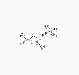 C[Si](C)(C)C#C[C@H]1CN(C(=O)O)C[C@@H]1O